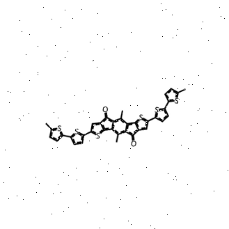 Cc1ccc(-c2ccc(-c3cc4c(=O)c5c(C)c6c(c(C)c5c4s3)c(=O)c3cc(-c4ccc(-c5ccc(C)s5)s4)sc36)s2)s1